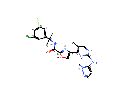 Cc1cnc(Nc2ccnn2C)nc1-c1coc(C(=O)NC(C)(C)c2cc(F)cc(Cl)c2)n1